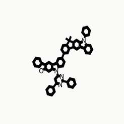 CC1(C)c2ccc(-c3ccc4c(c3)c3cc5c(cc3n4-c3cc(-c4ccccc4)nc(-c4ccccc4)n3)oc3ccccc35)cc2-c2cc3c4ccccc4n(-c4ccccc4)c3cc21